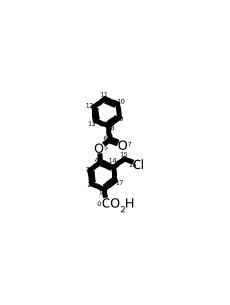 O=C(O)c1ccc(OC(=O)c2ccccc2)c(CCl)c1